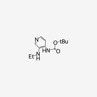 CCNc1cnccc1NC(=O)OC(C)(C)C